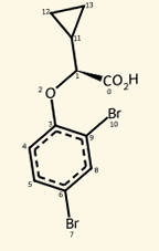 O=C(O)[C@@H](Oc1ccc(Br)cc1Br)C1CC1